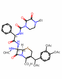 CCN1CCN(C(=O)N[C@@H](C(=O)N[C@]2(NC=O)C(=O)N3C(C(=O)O)=C(C(OC(C)=O)c4ccc(OC(C)=O)c(OC(C)=O)c4)CS[C@@H]32)c2ccccc2)C(=O)C1=O